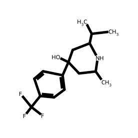 CC1CC(O)(c2ccc(C(F)(F)F)cc2)CC(C(C)C)N1